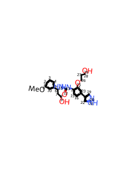 COc1cccc(C(CCO)NC(=O)Nc2ccc(-c3cn[nH]c3)cc2OCCCO)c1